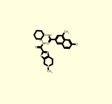 Cc1cc(C(=O)N[C@H]2CCCC[C@H]2NC(=O)c2nc3c(s2)CN(C)CC3)cc2ccc(Cl)cc12